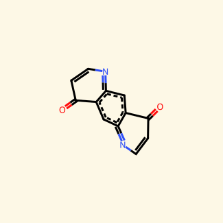 O=C1C=CN=c2cc3c(cc21)=NC=CC3=O